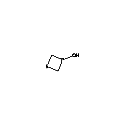 OP1CSC1